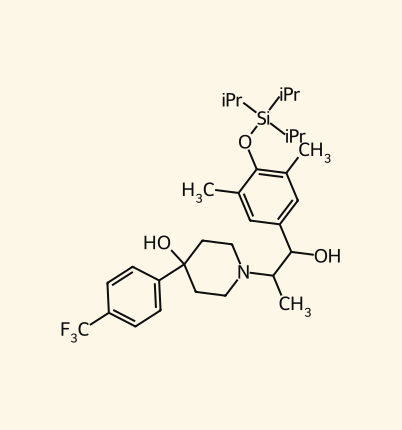 Cc1cc(C(O)C(C)N2CCC(O)(c3ccc(C(F)(F)F)cc3)CC2)cc(C)c1O[Si](C(C)C)(C(C)C)C(C)C